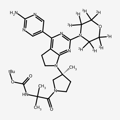 [2H]C1([2H])OC([2H])([2H])C([2H])([2H])N(c2nc(-c3cnc(N)nc3)c3c(n2)N([C@@]2(C)CCN(C(=O)C(C)(C)NC(=O)OC(C)(C)C)C2)CC3)C1([2H])[2H]